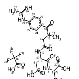 CC(C)[C@H](NC(=O)[C@H](CC(=O)O)NC(=O)CN(C)C(=O)c1ccc(NC(=N)N)cc1)C(=O)O.O=C(O)C(F)(F)F